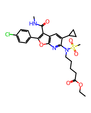 CCOC(=O)CCCCN(c1nc2oc(-c3ccc(Cl)cc3)c(C(=O)NC)c2cc1C1CC1)S(C)(=O)=O